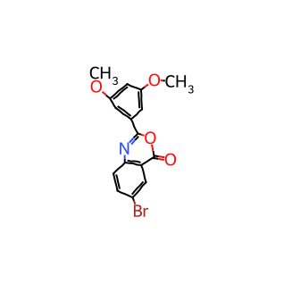 COc1cc(OC)cc(-c2nc3ccc(Br)cc3c(=O)o2)c1